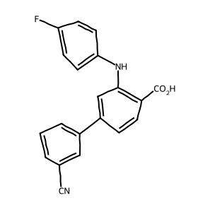 N#Cc1cccc(-c2ccc(C(=O)O)c(Nc3ccc(F)cc3)c2)c1